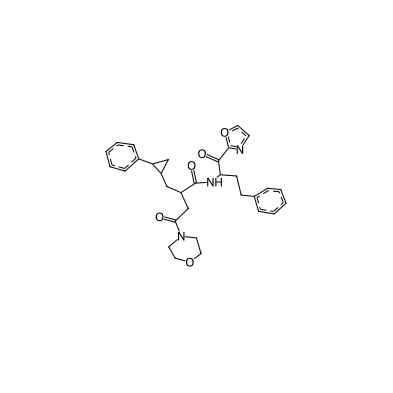 O=C(NC(CCc1ccccc1)C(=O)c1ncco1)C(CC(=O)N1CCOCC1)CC1CC1c1ccccc1